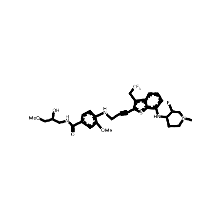 COCC(O)CNC(=O)c1ccc(NCC#Cc2sc3c(NC4CCN(C)CC4F)cccc3c2CC(F)(F)F)c(OC)c1